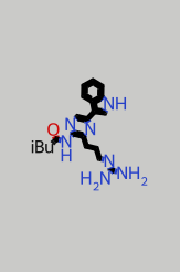 CCC(C)C(=O)Nc1ncc(-c2c[nH]c3ccccc23)nc1CCCN=C(N)N